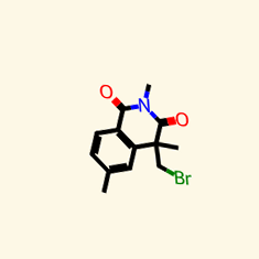 Cc1ccc2c(c1)C(C)(CBr)C(=O)N(C)C2=O